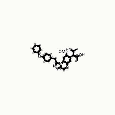 COc1cc2c(cc1/C(C(C)=N)=C(\C)O)ncc1nnc(Cc3ccc(Oc4ccccc4)cc3)n12